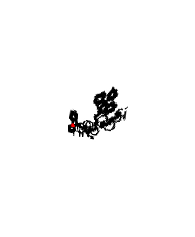 CC[C@H](NC(=O)OCC1c2ccccc2-c2ccccc21)C(=O)O[C@H](/C=C/CCSC(c1ccccc1)(c1ccccc1)c1ccccc1)CC(=O)OCC[Si](C)(C)C